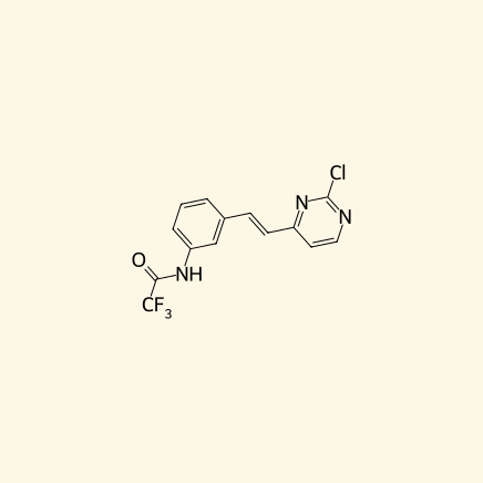 O=C(Nc1cccc(/C=C/c2ccnc(Cl)n2)c1)C(F)(F)F